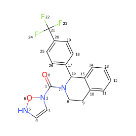 O=C(N1C=CNO1)N1CCc2ccccc2C1c1ccc(C(F)(F)F)cc1